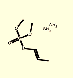 CC=COP(=O)(OC)OC.N.N